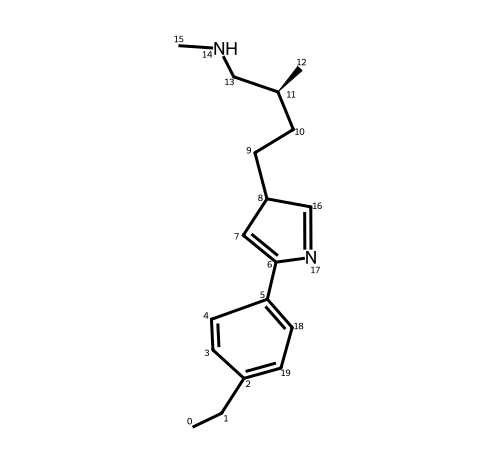 CCc1ccc(C2=CC(CC[C@H](C)CNC)C=N2)cc1